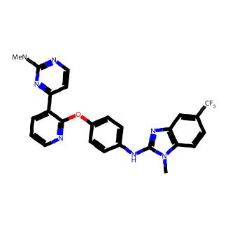 CNc1nccc(-c2cccnc2Oc2ccc(Nc3nc4cc(C(F)(F)F)ccc4n3C)cc2)n1